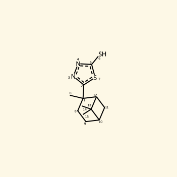 CC1(c2nnc(S)s2)CCC2CC1C2(C)C